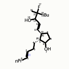 CCC/C=C/CC[C@H]1C(O)CC[C@@H]1C=CC(O)C(C)(F)CCCC